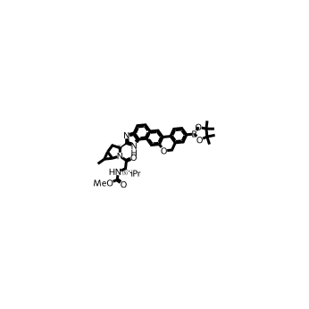 COC(=O)N[C@H](C(=O)N1C2C(C)C2C[C@H]1c1nc2ccc3cc4c(cc3c2[nH]1)OCc1cc(B2OC(C)(C)C(C)(C)O2)ccc1-4)C(C)C